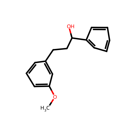 COc1cccc(CCC(O)c2ccccc2)c1